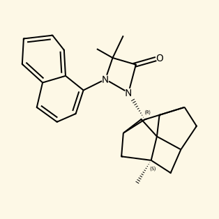 CC1(C)C(=O)N([C@@H]2C3CC4C[C@@]5(C)CC2CC45C3)N1c1cccc2ccccc12